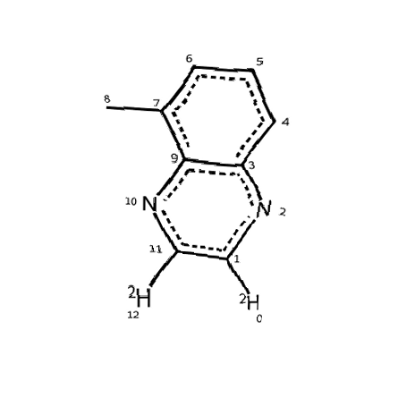 [2H]c1nc2cccc(C)c2nc1[2H]